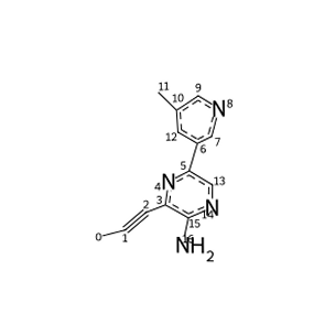 CC#Cc1nc(-c2cncc(C)c2)cnc1N